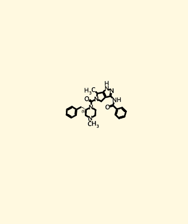 CC1c2[nH]nc(NC(=O)c3ccccc3)c2CN1C(=O)N1CCN(C)C[C@@H]1Cc1ccccc1